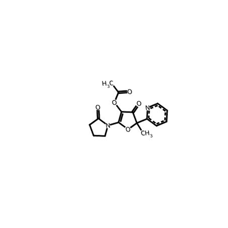 CC(=O)OC1=C(N2CCCC2=O)OC(C)(c2ccccn2)C1=O